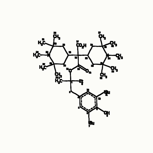 CCC(C)(Cc1cc(C(C)(C)C)c(O)c(C(C)(C)C)c1)OC(=O)C(C(=O)O)(C1CC(C)(C)N(C)C(C)(C)C1)C1CC(C)(C)N(C)C(C)(C)C1